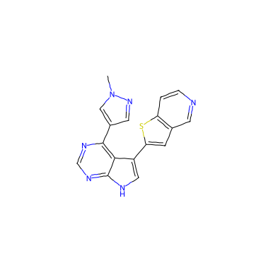 Cn1cc(-c2ncnc3[nH]cc(-c4cc5cnccc5s4)c23)cn1